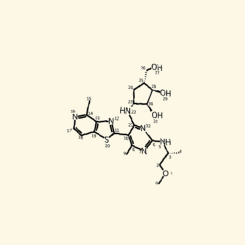 COC[C@@H](C)Nc1nc(C)c(-c2nc3c(C)nccc3s2)c(N[C@@H]2C[C@H](CO)[C@@H](O)[C@H]2O)n1